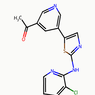 CC(=O)c1cncc(-c2cnc(Nc3ncccc3Cl)s2)c1